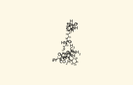 CC(C)C[C@H](NC(=O)[C@H](CCCCNC(=O)CCCC[C@@H]1SC[C@@H]2NC(=O)N[C@@H]21)NC(=O)[C@H](CC1CCCCC1)NC(=O)[C@H](C)N)C(=O)O